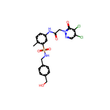 Cc1ccc(NC(=O)Cn2ncc(Cl)c(Cl)c2=O)cc1S(=O)(=O)NCc1ccc(CO)cc1